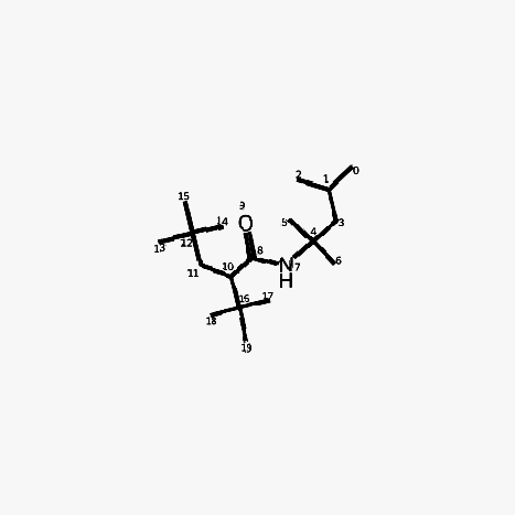 CC(C)CC(C)(C)NC(=O)C(CC(C)(C)C)C(C)(C)C